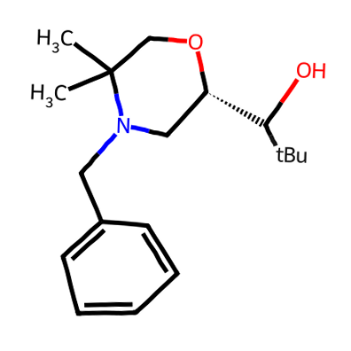 CC(C)(C)C(O)[C@@H]1CN(Cc2ccccc2)C(C)(C)CO1